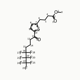 COC(=O)CCCc1ccc(C(=O)CCCC(F)(F)C(F)(F)C(F)(F)F)s1